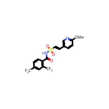 COc1ccc(/C=C/S(=O)(=O)NC(=O)c2ccc(C(F)(F)F)cc2C(F)(F)F)cn1